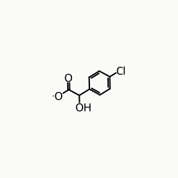 [O]C(=O)C(O)c1ccc(Cl)cc1